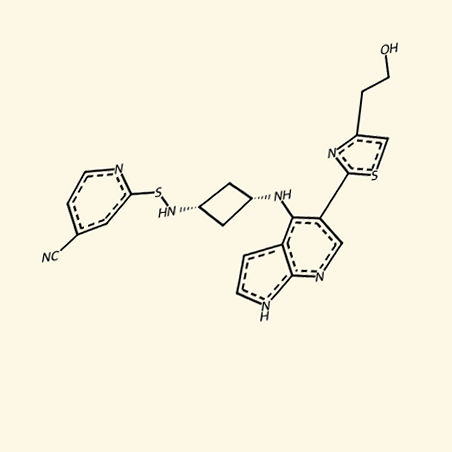 N#Cc1ccnc(SN[C@H]2C[C@@H](Nc3c(-c4nc(CCO)cs4)cnc4[nH]ccc34)C2)c1